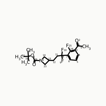 CC(=O)c1cccc(C(F)(F)CCC2CN(C(=O)OC(C)(C)C)C2)c1F